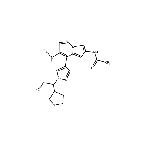 N#CCC(C1CCCC1)n1cc(-c2c(NC=O)cnn3cc(NC(=O)C(F)(F)F)cc23)cn1